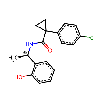 C[C@@H](NC(=O)C1(c2ccc(Cl)cc2)CC1)c1ccccc1O